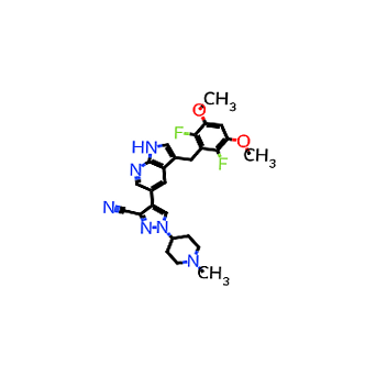 COc1cc(OC)c(F)c(Cc2c[nH]c3ncc(-c4cn(C5CCN(C)CC5)nc4C#N)cc23)c1F